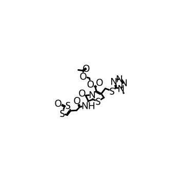 CC(=O)OCOC(=O)C1=C(CSc2nnnn2C)CSC2C(NC(=O)Cc3csc(=O)s3)C(=O)N12